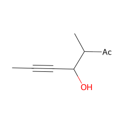 CC#CC(O)C(C)C(C)=O